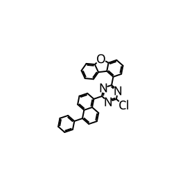 Clc1nc(-c2cccc3c(-c4ccccc4)cccc23)nc(-c2cccc3oc4ccccc4c23)n1